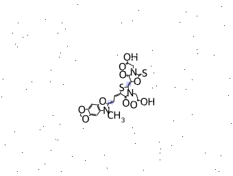 CN1/C(=C/C=c2s/c(=C3/OC(=S)N(CC(=O)O)C3=O)n(CC(=O)O)c2=O)Oc2cc3c(cc21)OCO3